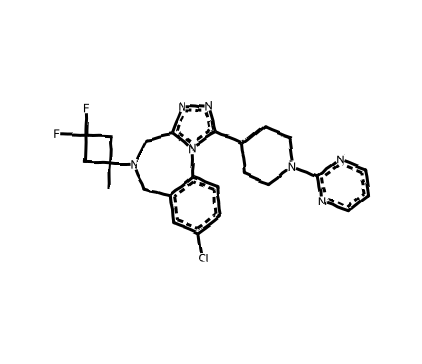 CC1(N2Cc3cc(Cl)ccc3-n3c(nnc3C3CCN(c4ncccn4)CC3)C2)CC(F)(F)C1